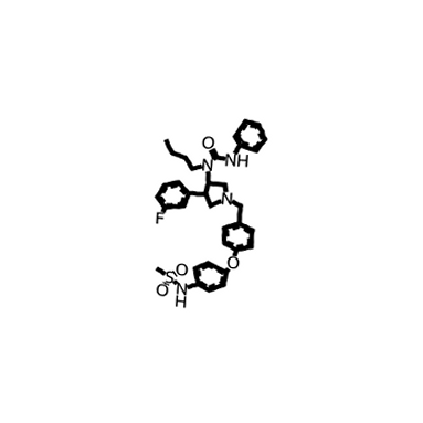 CCCCN(C(=O)Nc1ccccc1)C1CN(Cc2ccc(Oc3ccc(NS(C)(=O)=O)cc3)cc2)CC1c1cccc(F)c1